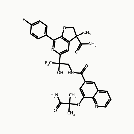 CC(C)(Oc1cc(C(=O)NCC(O)(c2cc3c(c(-c4ccc(F)cc4)n2)OC[C@]3(C)C(N)=O)C(F)(F)F)cc2cccnc12)C(N)=O